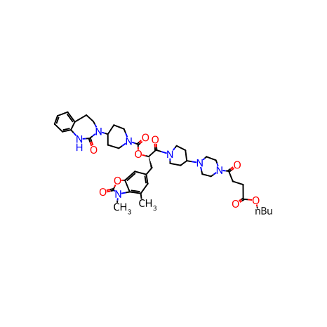 CCCCOC(=O)CCC(=O)N1CCN(C2CCN(C(=O)[C@@H](Cc3cc(C)c4c(c3)oc(=O)n4C)OC(=O)N3CCC(N4CCc5ccccc5NC4=O)CC3)CC2)CC1